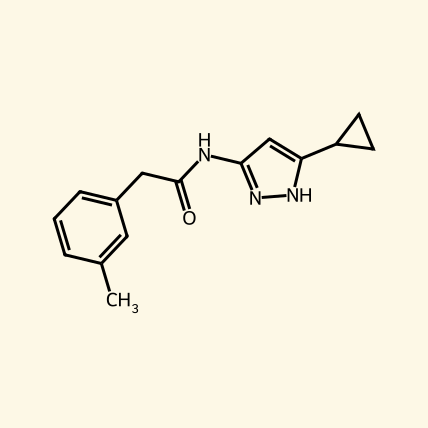 Cc1cccc(CC(=O)Nc2cc(C3CC3)[nH]n2)c1